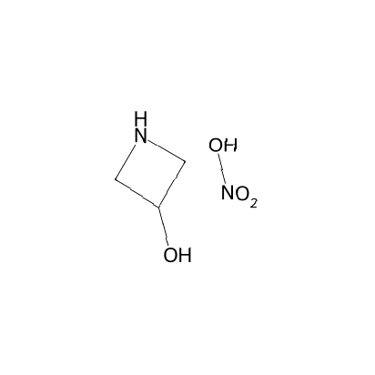 O=[N+]([O-])O.OC1CNC1